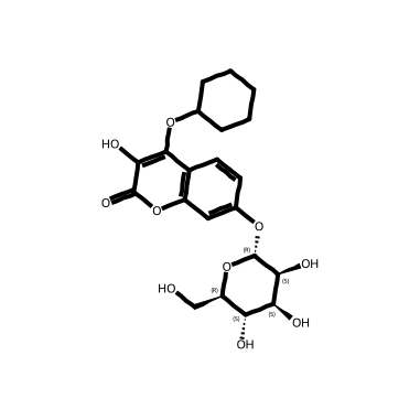 O=c1oc2cc(O[C@H]3O[C@H](CO)[C@@H](O)[C@H](O)[C@@H]3O)ccc2c(OC2CCCCC2)c1O